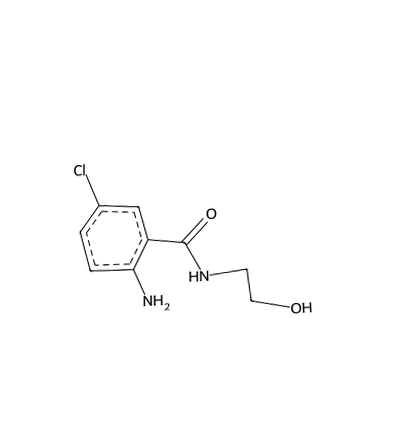 Nc1ccc(Cl)cc1C(=O)NCCO